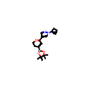 CC1(C)OB(C2=CC(c3cnn(C45CC(C4)C5)c3)OCC2)OC1(C)C